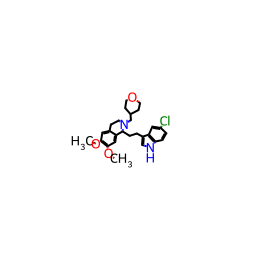 COc1cc2c(cc1OC)C(CCc1c[nH]c3ccc(Cl)cc13)N(CC1CCOCC1)CC2